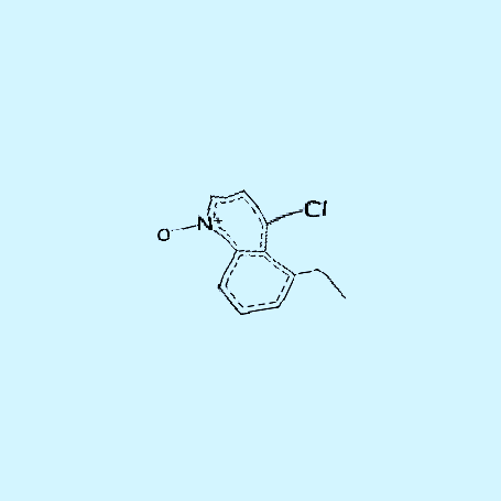 CCc1cccc2c1c(Cl)cc[n+]2[O-]